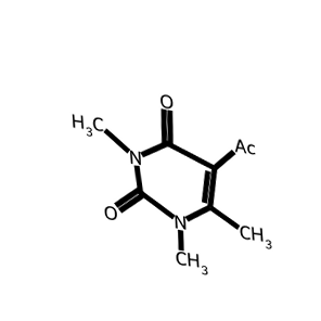 CC(=O)c1c(C)n(C)c(=O)n(C)c1=O